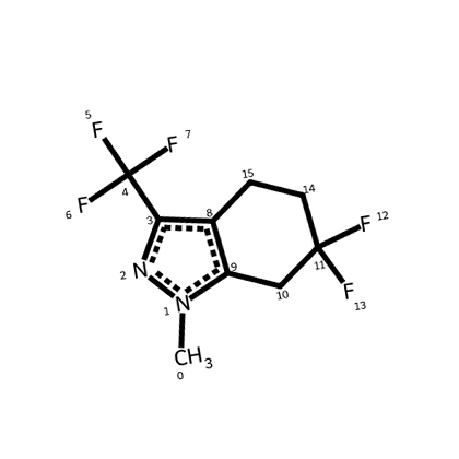 Cn1nc(C(F)(F)F)c2c1CC(F)(F)CC2